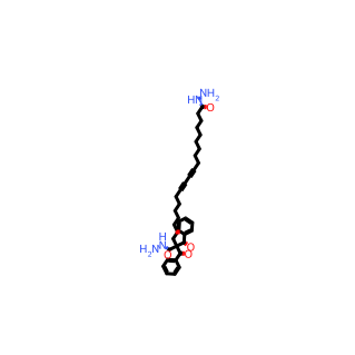 NNC(=O)CCCCCCCCC#CC#CCCCCCCCC(C(=O)NN)(C(=O)c1ccccc1)C(=O)c1ccccc1